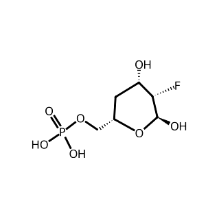 O=P(O)(O)OC[C@@H]1C[C@H](O)[C@H](F)[C@@H](O)O1